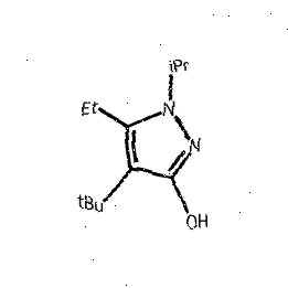 CCc1c(C(C)(C)C)c(O)nn1C(C)C